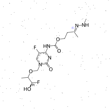 CN/N=C(\C)CCOC(=O)Nc1nc(=O)n(COC(C)[C@H](O)F)cc1F